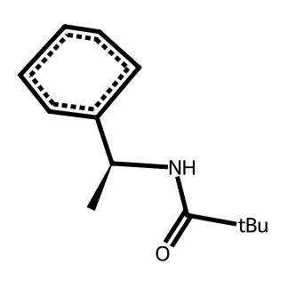 C[C@H](NC(=O)C(C)(C)C)c1ccccc1